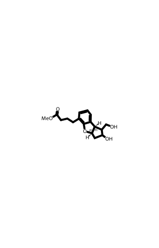 COC(=O)CCCc1cccc2c1O[C@@H]1CC(O)C(CO)[C@H]21